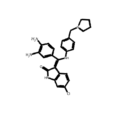 Nc1ccc(C(Nc2ccc(CN3CCCC3)cc2)=C2C(=O)Nc3cc(Cl)ccc32)cc1N